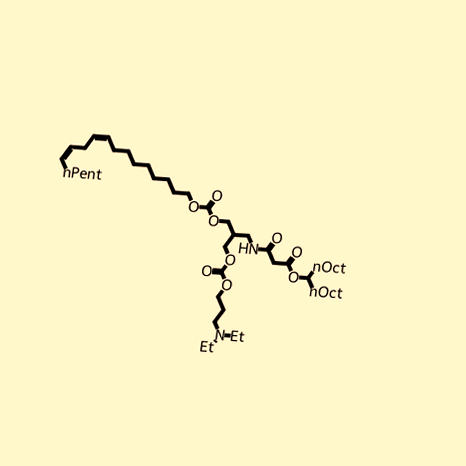 CCCCC/C=C\C/C=C\CCCCCCCCOC(=O)OCC(CNC(=O)CC(=O)OC(CCCCCCCC)CCCCCCCC)COC(=O)OCCCN(CC)CC